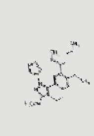 C=Cc1nn(-c2ccsc2)c2c1CCc1cc(CC)c(/C(CCCC)=N/C)cc1-2